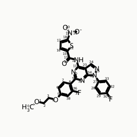 COCCOc1ccc(-c2nc(NC(=O)c3ccc([N+](=O)[O-])s3)c3cnn(-c4ccc(F)cc4)c3n2)c(F)c1